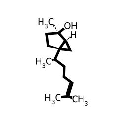 CC(C)=CCC[C@@H](C)[C@]12CC[C@@](C)(O)[C@H]1C2